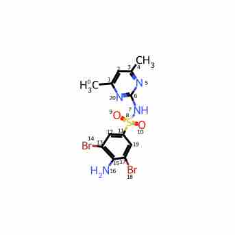 Cc1cc(C)nc(NS(=O)(=O)c2cc(Br)c(N)c(Br)c2)n1